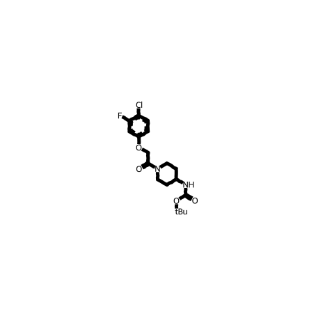 CC(C)(C)OC(=O)NC1CCN(C(=O)COc2ccc(Cl)c(F)c2)CC1